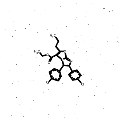 CCCC1=C(C(=O)OCC)N2C(=NC(c3ccc(Cl)cc3)C2c2ccc(Cl)cc2)S1